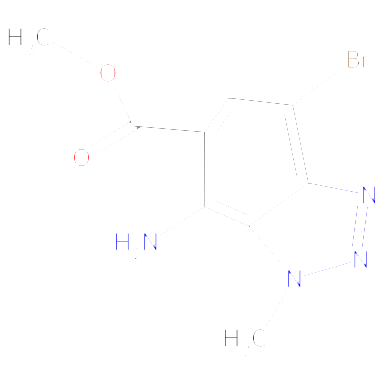 COC(=O)c1cc(Br)c2nnn(C)c2c1N